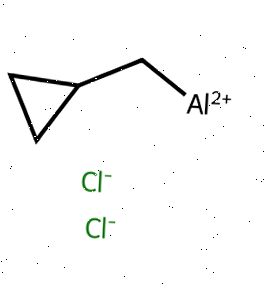 [Al+2][CH2]C1CC1.[Cl-].[Cl-]